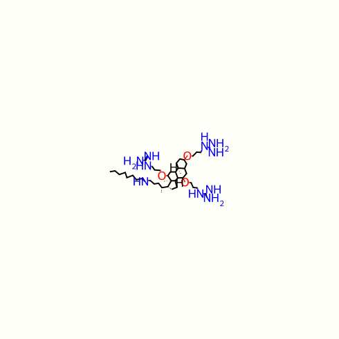 CCCCCCCCNCCC[C@@H](C)[C@H]1CC[C@H]2C3[C@H](OCCCNC(=N)N)CC4C[C@H](OCCCNC(=N)N)CC[C@]4(C)[C@H]3C[C@H](OCCCNC(=N)N)[C@]12C